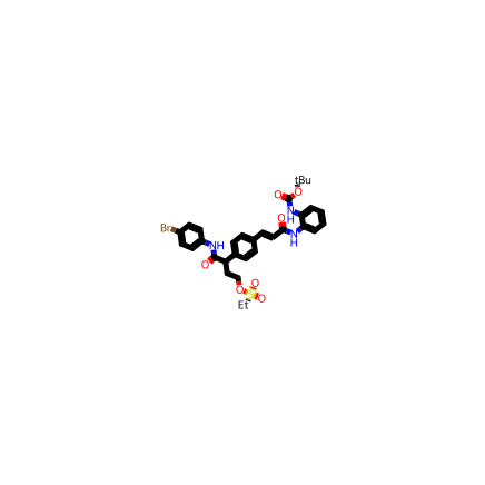 CCS(=O)(=O)OCCC(C(=O)Nc1ccc(Br)cc1)c1ccc(C=CC(=O)Nc2ccccc2NC(=O)OC(C)(C)C)cc1